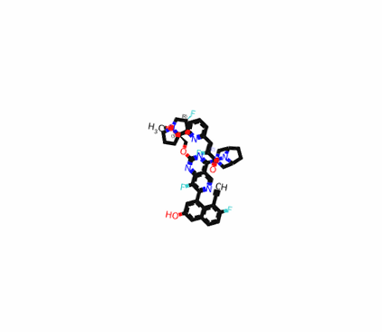 C#Cc1c(F)ccc2cc(O)cc(-c3ncc4c(N5CC6CCC(C5)N6C(=O)/C(F)=C/c5cccc(COC)n5)nc(OC[C@@]56CCCN5C[C@H](F)C6)nc4c3F)c12